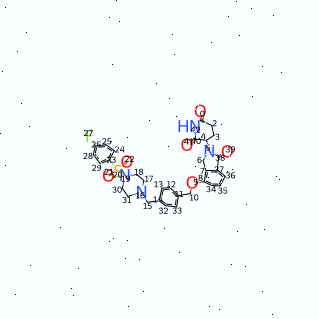 O=C1CCC(N2Cc3c(OCc4ccc(CN5CCN(S(=O)(=O)c6ccc(F)cc6)CC5)cc4)cccc3C2=O)C(=O)N1